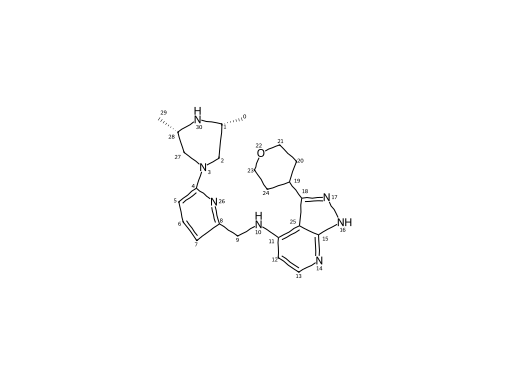 C[C@@H]1CN(c2cccc(CNc3ccnc4[nH]nc(C5CCOCC5)c34)n2)C[C@H](C)N1